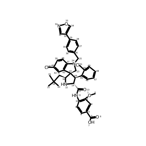 COc1cc(C(=O)O)ccc1NC(=O)[C@@H]1N[C@@H](CC(C)(C)C)[C@@]2(CN(Cc3ccc(-c4cnoc4)cc3)c3ccc(Cl)cc32)[C@H]1c1ccccc1Cl